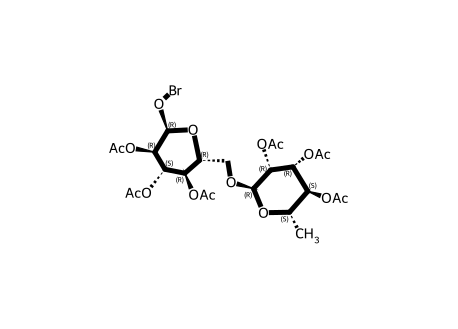 CC(=O)O[C@@H]1[C@@H](OC(C)=O)[C@H](C)O[C@@H](OC[C@H]2O[C@H](OBr)[C@H](OC(C)=O)[C@@H](OC(C)=O)[C@@H]2OC(C)=O)[C@@H]1OC(C)=O